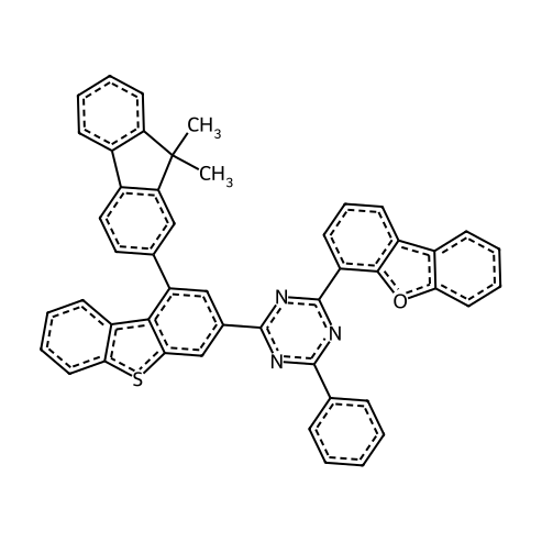 CC1(C)c2ccccc2-c2ccc(-c3cc(-c4nc(-c5ccccc5)nc(-c5cccc6c5oc5ccccc56)n4)cc4sc5ccccc5c34)cc21